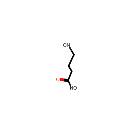 O=NCCCC(=O)N=O